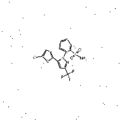 NS(=O)(=O)c1ccccc1-n1nc(C(F)(F)F)cc1-c1ccc(Cl)s1